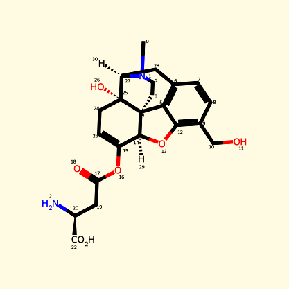 CN1CC[C@]23c4c5ccc(CO)c4O[C@H]2C(OC(=O)C[C@H](N)C(=O)O)=CC[C@@]3(O)[C@H]1C5